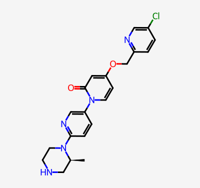 C[C@H]1CNCCN1c1ccc(-n2ccc(OCc3ccc(Cl)cn3)cc2=O)cn1